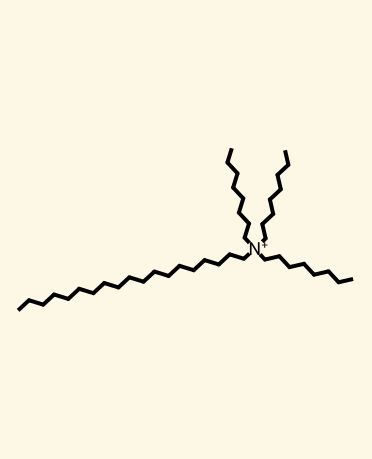 CCCCCCCCCCCCCCCCCCC[N+](CCCCCCCC)(CCCCCCCC)CCCCCCCC